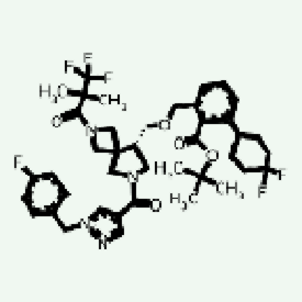 CC(C)(C)OC(=O)c1c(COC[C@@H]2CN(C(=O)c3cnn(Cc4ccc(F)cc4)c3)CC23CN(C(=O)C(C)(C)C(F)(F)F)C3)cccc1C1CCC(F)(F)CC1